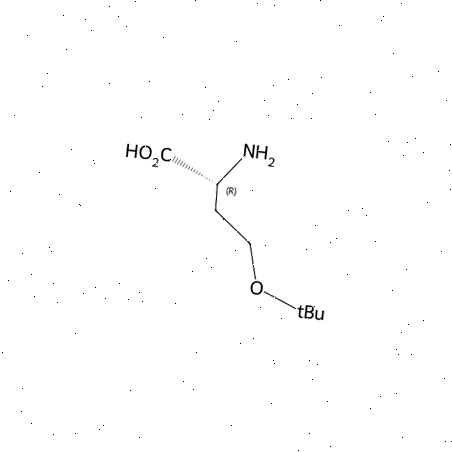 CC(C)(C)OCC[C@@H](N)C(=O)O